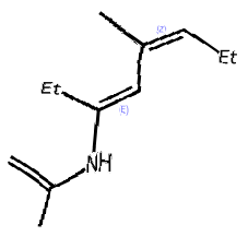 C=C(C)N/C(=C/C(C)=C\CC)CC